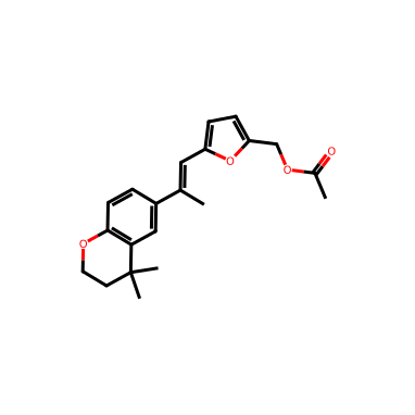 CC(=O)OCc1ccc(C=C(C)c2ccc3c(c2)C(C)(C)CCO3)o1